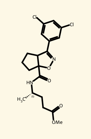 COC(=O)CC[C@H](C)NC(=O)C12CCCC1C(c1cc(Cl)cc(Cl)c1)=NO2